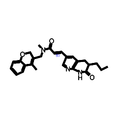 CCCC1Cc2cc(/C=C/C(=O)N(C)CC3=C(C)c4ccccc4OC3)cnc2NC1=O